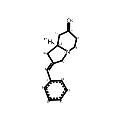 O=C1CCN2C/C(=C\c3ccccc3)C[C@H]2C1